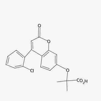 CC(C)(Oc1ccc2c(-c3ccccc3Cl)cc(=O)oc2c1)C(=O)O